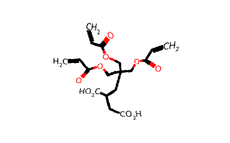 C=CC(=O)OCC(COC(=O)C=C)(COC(=O)C=C)CC(CC(=O)O)C(=O)O